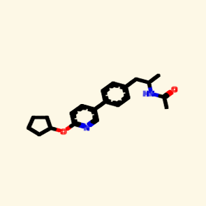 CC(=O)NC(C)Cc1ccc(-c2ccc(OC3CCCC3)nc2)cc1